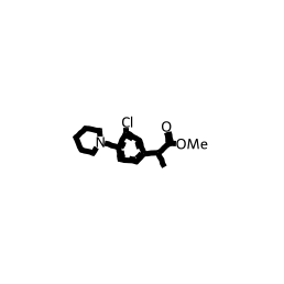 COC(=O)C(C)c1ccc(N2CCCCC2)c(Cl)c1